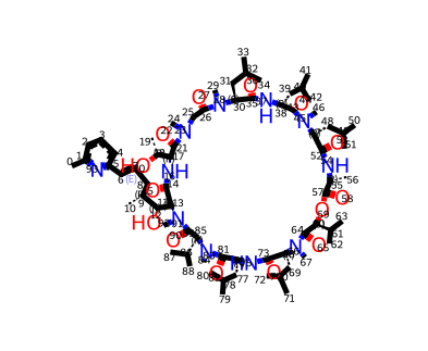 Cc1cccc(/C=C/C[C@@H](C)[C@@H](O)[C@@H]2C(=O)N[C@H]([C@@H](C)O)C(=O)N(C)CC(=O)N(C)[C@@H](CC(C)C)C(=O)N[C@H](CC(C)C)C(=O)N(C)[C@H](CC(C)C)C(=O)N[C@H](C)C(=O)O[C@@H](C(C)C)C(=O)N(C)[C@H](CC(C)C)C(=O)N[C@H](CC(C)C)C(=O)N(C)[C@H](C(C)C)C(=O)N2C)n1